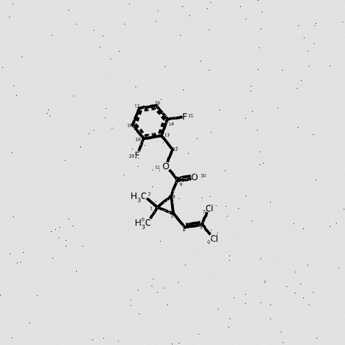 CC1(C)C(C=C(Cl)Cl)C1C(=O)OCc1c(F)cccc1F